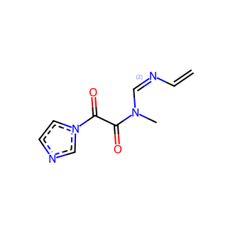 C=C/N=C\N(C)C(=O)C(=O)n1ccnc1